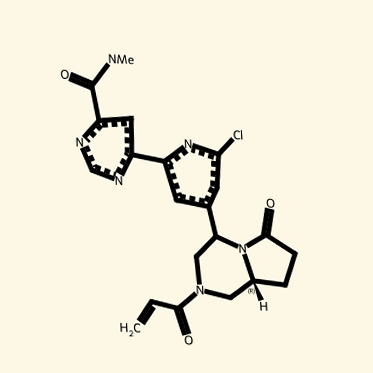 C=CC(=O)N1CC(c2cc(Cl)nc(-c3cc(C(=O)NC)ncn3)c2)N2C(=O)CC[C@@H]2C1